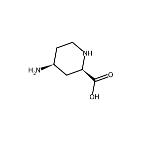 N[C@H]1CCN[C@@H](C(=O)O)C1